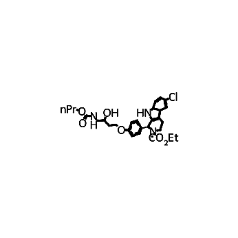 CCCOC(=O)NCC(O)CCOc1ccc([C@H]2C3=C(CCN2C(=O)OCC)C2C=C(Cl)C=CC2N3)cc1